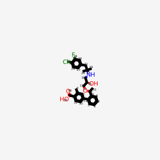 Cc1cc(-c2ccccc2C(C)OC[C@H](O)CNC(C)(C)Cc2ccc(Cl)c(F)c2)ccc1C(=O)O